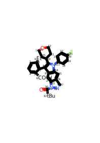 CCc1cccc(C(=O)O)c1-c1c(C2CCOCC2)n(-c2ccc(F)cc2)c2cc3cnn(C(=O)C(C)(C)C)c3cc12